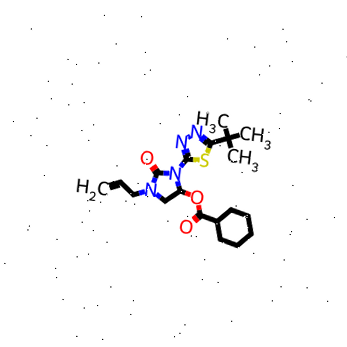 C=CCN1CC(OC(=O)C2CCCCC2)N(c2nnc(C(C)(C)C)s2)C1=O